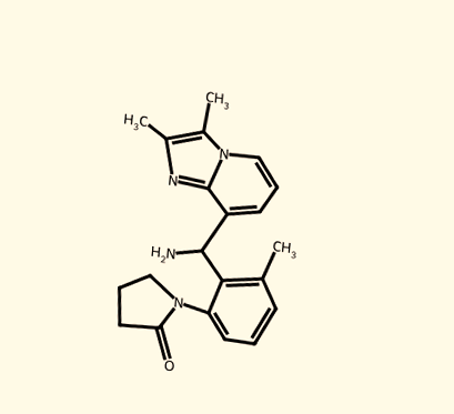 Cc1cccc(N2CCCC2=O)c1C(N)c1cccn2c(C)c(C)nc12